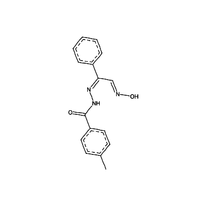 Cc1ccc(C(=O)NN=C(C=NO)c2ccccc2)cc1